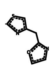 [c]1nc(Cc2ncco2)cs1